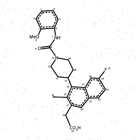 COc1ccccc1NC(=O)N1CCC(c2c(C)c(CC(=O)O)cc3ccc(F)cc23)CC1